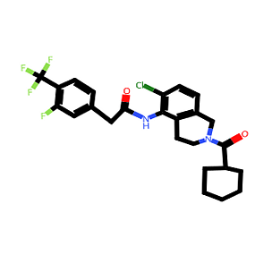 O=C(Cc1ccc(C(F)(F)F)c(F)c1)Nc1c(Cl)ccc2c1CCN(C(=O)C1CCCCC1)C2